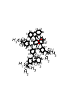 Cc1cc2c3c4c1C1(C)c5ccccc5-c5cccc(c51)N4c1cc(C(C)(C)C)ccc1B3c1ccc(N3c4ccc(C(C)(C)C)cc4C4(C)CCCCC34C)cc1N2c1ccc(C(C)(C)C)cc1-c1ccccc1